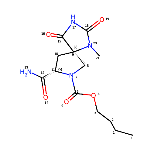 CCCCOC(=O)N1C[C@]2(C[C@H]1C(N)=O)C(=O)NC(=O)N2C